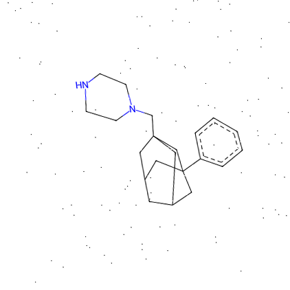 c1ccc(C23CC4CC(CC(CN5CCNCC5)(C4)C2)C3)cc1